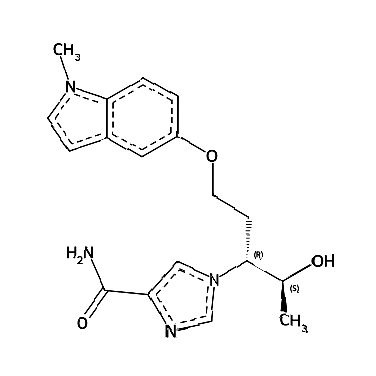 C[C@H](O)[C@@H](CCOc1ccc2c(ccn2C)c1)n1cnc(C(N)=O)c1